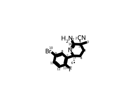 C[C@@]1(C#N)CC[C@@](C)(c2cc(Br)ccc2F)N=C1N